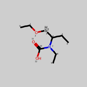 CCO[SiH2]C(CC)N(CC)C(=O)O